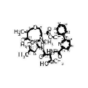 COC(=O)[C@H]1COC[C@H](C)C(=O)OB([C@H](CC(C)C)NC(=O)[C@@H](NC(=O)c2cccc(-c3ccccc3)n2)[C@@H](C)O)N1C